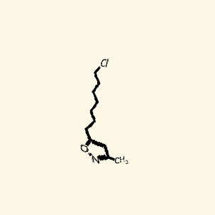 Cc1cc(CCCCCCCCl)on1